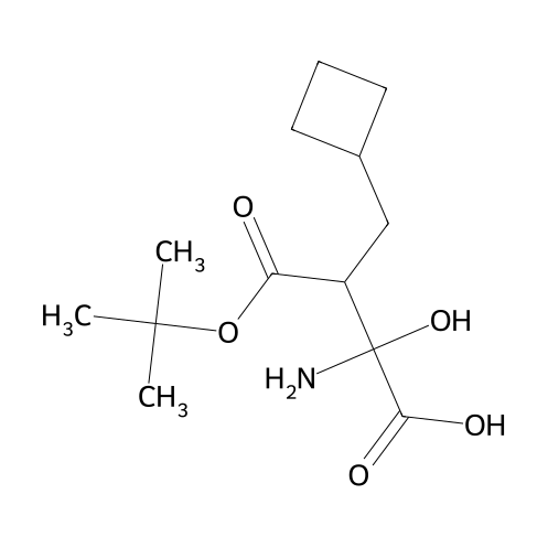 CC(C)(C)OC(=O)C(CC1CCC1)C(N)(O)C(=O)O